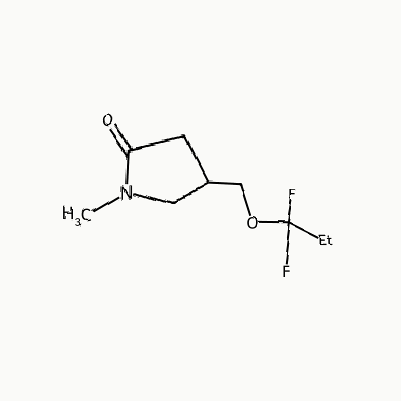 CCC(F)(F)OCC1CC(=O)N(C)C1